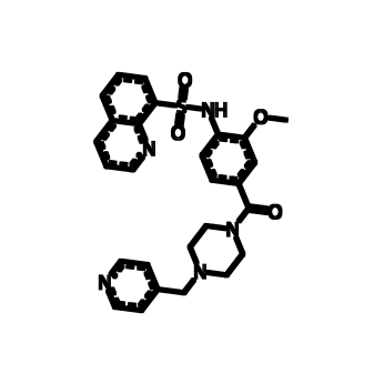 COc1cc(C(=O)N2CCN(Cc3ccncc3)CC2)ccc1NS(=O)(=O)c1cccc2cccnc12